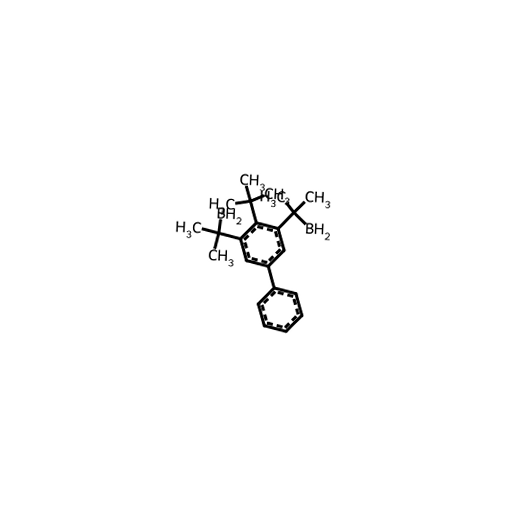 BC(C)(C)c1cc(-c2ccccc2)cc(C(B)(C)C)c1C(C)(C)C